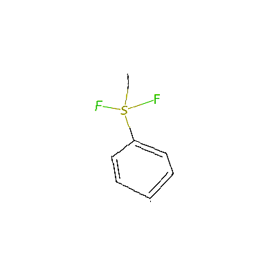 CS(F)(F)c1cc[c]cc1